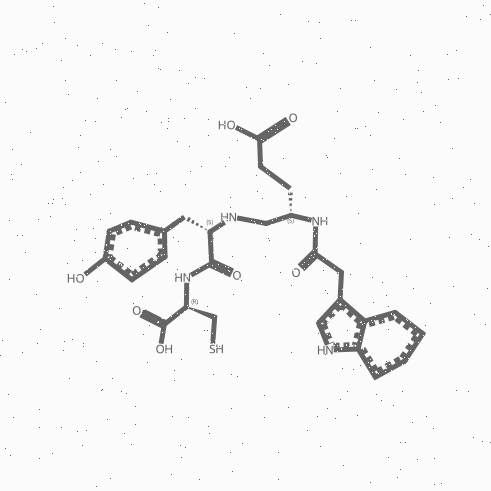 O=C(O)CC[C@@H](CN[C@@H](Cc1ccc(O)cc1)C(=O)N[C@@H](CS)C(=O)O)NC(=O)Cc1c[nH]c2ccccc12